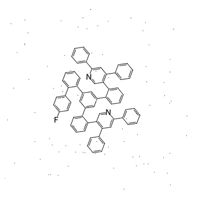 Fc1ccc(-c2ccccc2-c2cc(-c3ccccc3-c3cnc(-c4ccccc4)cc3-c3ccccc3)cc(-c3ccccc3-c3cnc(-c4ccccc4)cc3-c3ccccc3)c2)cc1